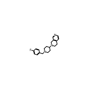 Fc1ccc(CN2CCC(N3CCc4ccncc4C3)CC2)cc1